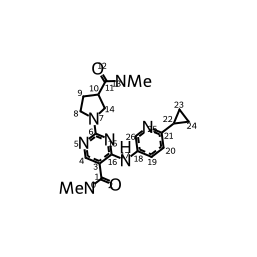 CNC(=O)c1cnc(N2CCC(C(=O)NC)C2)nc1Nc1ccc(C2CC2)nc1